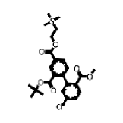 COC(=O)c1ccc(Cl)cc1-c1ccc(C(=O)OCCS(C)(C)C)cc1C(=O)OC(C)(C)C